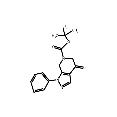 CC(C)(C)OC(=O)N1CC(=O)c2cnn(-c3ccccc3)c2C1